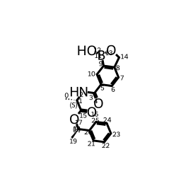 C[C@H](NC(=O)c1ccc2c(c1)B(O)OC2)C(=O)O[C@H](C)c1ccccc1